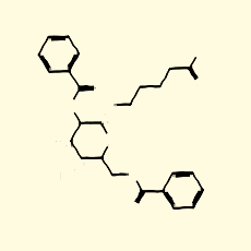 CC(=O)CCCCO[C@@H]1OC(COC(=O)c2ccccc2)[C@H](C)[C@H](C)C1OC(=O)c1ccccc1